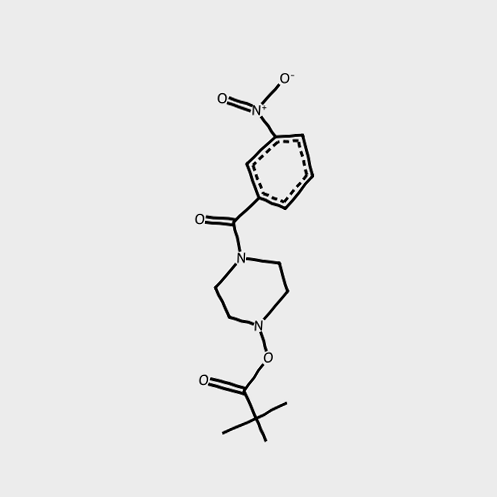 CC(C)(C)C(=O)ON1CCN(C(=O)c2cccc([N+](=O)[O-])c2)CC1